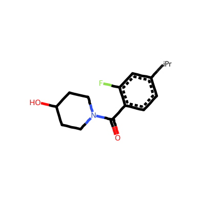 CC(C)c1ccc(C(=O)N2CCC(O)CC2)c(F)c1